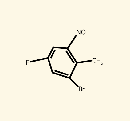 Cc1c(Br)cc(F)cc1N=O